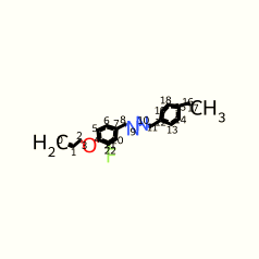 C=CCOc1ccc(C=NN=Cc2ccc(CC)cc2)cc1F